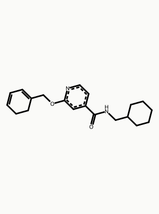 O=C(NCC1CCCCC1)c1ccnc(OCC2=CC=CCC2)c1